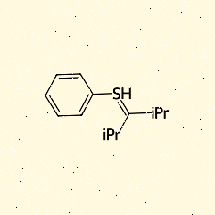 CC(C)C(=[SH]c1ccccc1)C(C)C